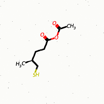 CC(=O)OC(=O)CC[C@H](C)CS